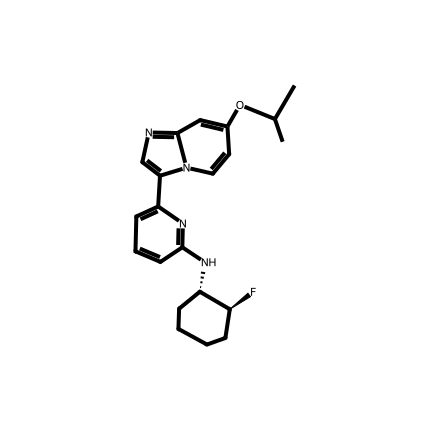 CC(C)Oc1ccn2c(-c3cccc(N[C@H]4CCCC[C@@H]4F)n3)cnc2c1